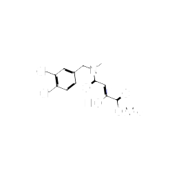 COC(=O)/C(O)=C/C(=O)N(C)Cc1ccc(Cl)c(Cl)c1